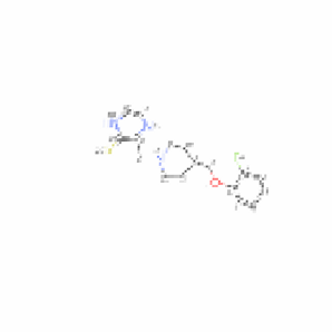 Fc1ccccc1OCC1CCN(Cc2ncc[nH]c2=S)CC1